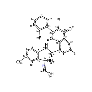 Cc1cc([C@@H](C)Nc2ccc(Cl)nc2/C(N)=N/O)c2oc(-c3cccnc3F)c(C)c(=O)c2c1